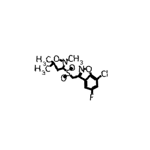 CN1OC(C)(C)CC1S(=O)(=O)Cc1noc2c(Cl)cc(F)cc12